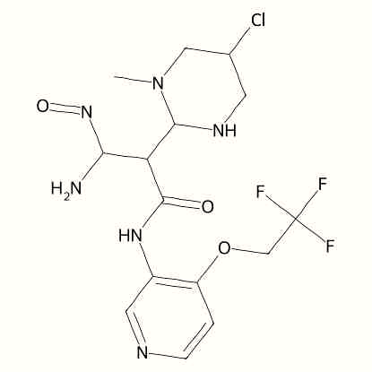 CN1CC(Cl)CNC1C(C(=O)Nc1cnccc1OCC(F)(F)F)C(N)N=O